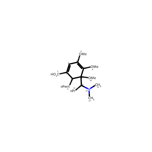 CCCCCC1C(C(=O)O)=CC(OC)=C(OC)C1(OC)C(CCC)N(C)C